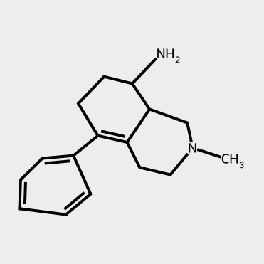 CN1CCC2=C(c3ccccc3)CCC(N)C2C1